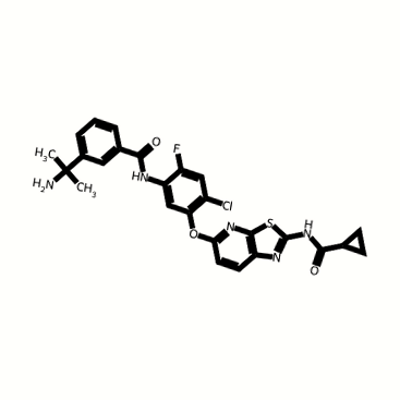 CC(C)(N)c1cccc(C(=O)Nc2cc(Oc3ccc4nc(NC(=O)C5CC5)sc4n3)c(Cl)cc2F)c1